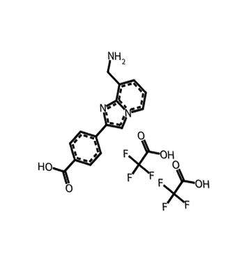 NCc1cccn2cc(-c3ccc(C(=O)O)cc3)nc12.O=C(O)C(F)(F)F.O=C(O)C(F)(F)F